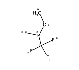 COP(F)C(F)(F)F